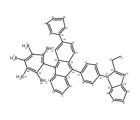 Bc1c(B)c(B)c(-c2c3ccccc3c(-c3ccc(-n4c(CC)nc5ccccc54)cc3)c3ccc(-c4ccccc4)cc23)c(B)c1B